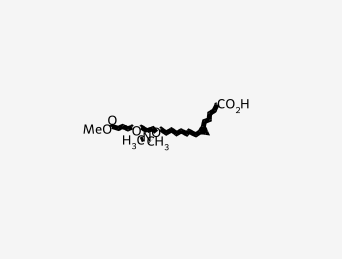 COC(=O)CCCCOCC(COCCCCCCCCC1CC1CCCCCC(=O)O)N(C)C